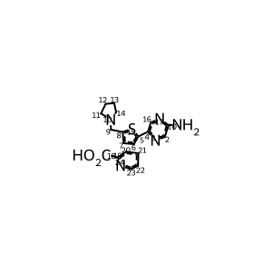 Nc1cnc(-c2ccc(CN3CCCC3)s2)cn1.O=C(O)c1ccccn1